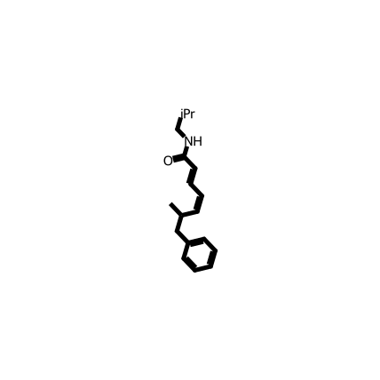 CC(C)CNC(=O)/C=C/C=C\C(C)Cc1ccccc1